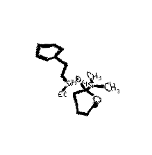 CC[SiH](CCc1ccccc1)OC1([SiH](C)C)CCCCO1